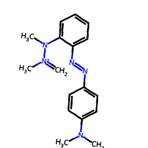 C=[N+](C)N(C)c1ccccc1N=Nc1ccc(N(C)C)cc1